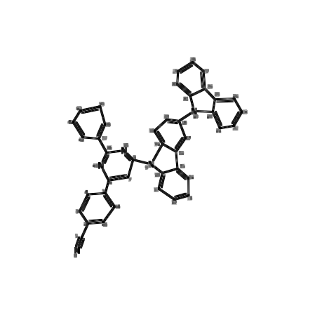 N#Cc1ccc(-c2cc(-n3c4ccccc4c4cc(-n5c6ccccc6c6ccccc65)ccc43)nc(-c3ccccc3)n2)cc1